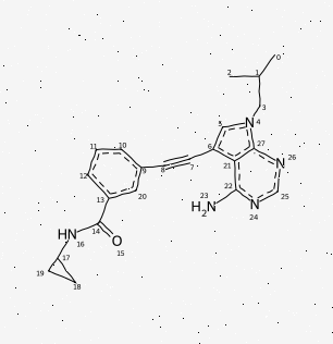 CC(C)Cn1cc(C#Cc2cccc(C(=O)NC3CC3)c2)c2c(N)ncnc21